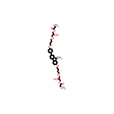 C=CC(=O)OCC(O)COCCCCOc1ccc(-c2ccc3c(c2)C(C)c2cc(OCCCCOCC(O)COC(=O)C=C)ccc2-3)cc1